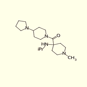 CC(C)NC1(C(=O)N2CCC(N3CCCC3)CC2)CCN(C)CC1